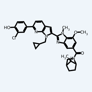 COc1cc(C(=O)N2CC3CCC2[C@@H]3C)cc2nc(-c3cc4ccc(-c5ccc(O)c(Cl)c5)nc4n3CC3CC3)n(C)c12